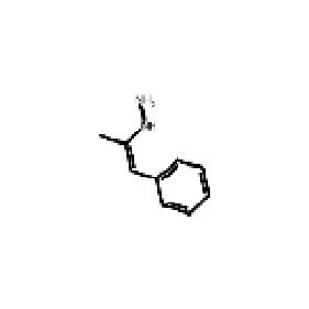 CC(=Cc1ccccc1)NN